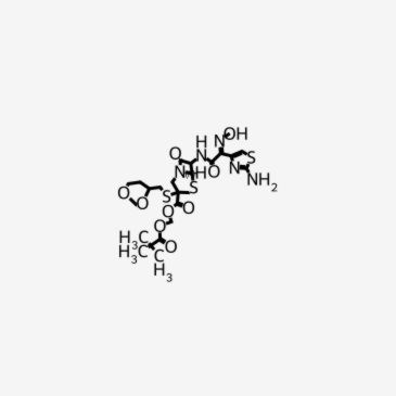 CC(C)(C)C(=O)OCOC(=O)C1(SCC2CCOCO2)CS[C@@H]2C(NC(=O)C(=NO)c3csc(N)n3)C(=O)N2C1